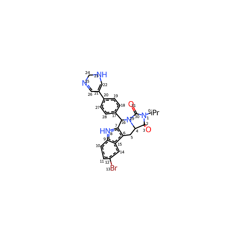 CC(C)N1C(=O)C2Cc3c([nH]c4ccc(Br)cc34)C(c3ccc(C4=CNCN=C4)cc3)N2C1=O